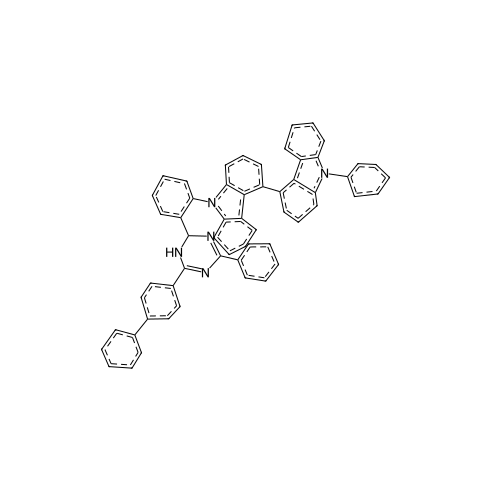 c1ccc(C2=NC(c3ccccc3-n3c4ccccc4c4c(-c5cccc6c5c5ccccc5n6-c5ccccc5)cccc43)NC(c3ccc(-c4ccccc4)cc3)=N2)cc1